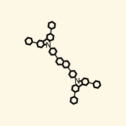 c1ccc(-c2ccc3c(c2)c2cc(-c4ccccc4)ccc2n3-c2ccc(-c3ccc4cc(-c5ccc(-n6c7ccc(-c8ccccc8)cc7c7cc(-c8ccccc8)ccc76)cc5)ccc4c3)cc2)cc1